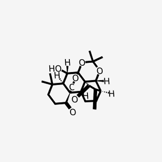 C=C1C(=O)[C@@]23[C@@H]4OC(C)(C)OC25OC[C@]2(C(=O)CCC(C)(C)[C@H]2[C@@H]5O)[C@@H]3CC[C@@H]14